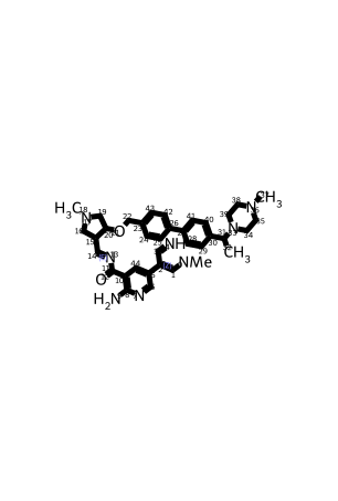 CN/C=C(\C=N)c1cnc(N)c(C(=O)/N=C/C2CN(C)CC2OCc2ccc(-c3ccc(C(C)N4CCN(C)CC4)cc3)cc2)c1